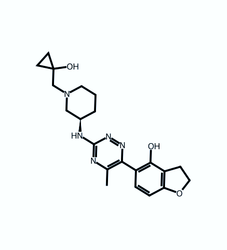 Cc1nc(N[C@@H]2CCCN(CC3(O)CC3)C2)nnc1-c1ccc2c(c1O)CCO2